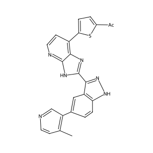 CC(=O)c1ccc(-c2ccnc3[nH]c(-c4n[nH]c5ccc(-c6cnccc6C)cc45)nc23)s1